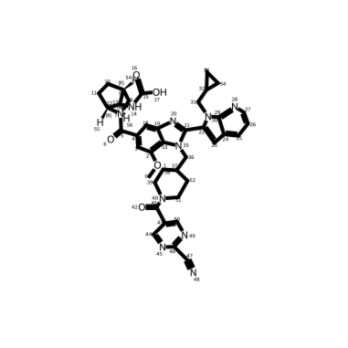 COc1cc(C(=O)N2C[C@H]3CC[C@@H]2[C@@H]3NC(=O)O)cc2nc(-c3cc4cccnc4n3CC3CC3)n(CC3CCN(C(=O)c4cnc(C#N)nc4)CC3)c12